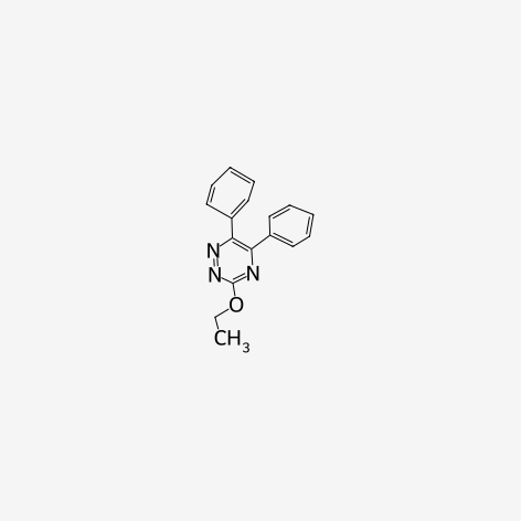 CCOc1nnc(-c2ccccc2)c(-c2ccccc2)n1